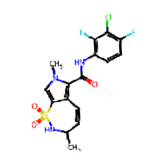 CC1C=Cc2c(cn(C)c2C(=O)Nc2ccc(F)c(Cl)c2F)S(=O)(=O)N1